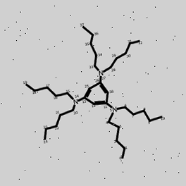 CCCCCN(CCCCC)c1cc(N(CCCCC)CCCCC)cc(N(CCCCC)CCCCC)c1